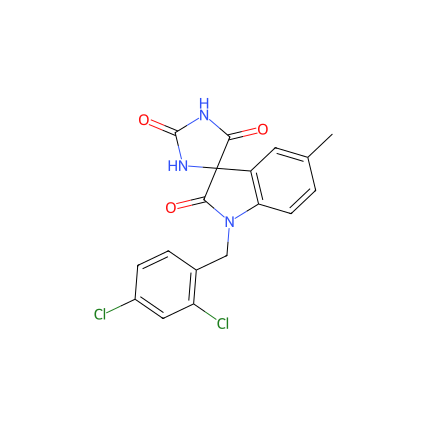 Cc1ccc2c(c1)C1(NC(=O)NC1=O)C(=O)N2Cc1ccc(Cl)cc1Cl